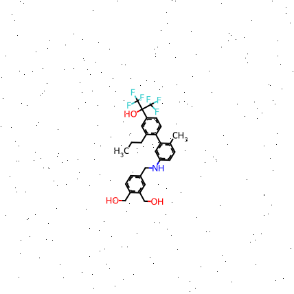 CCCc1cc(C(O)(C(F)(F)F)C(F)(F)F)ccc1-c1cc(NCc2ccc(CO)c(CO)c2)ccc1C